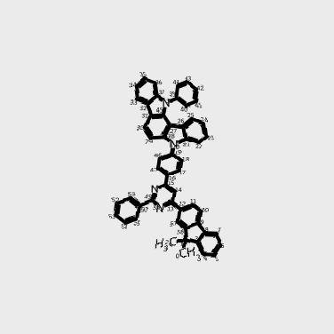 CC1(C)c2ccccc2-c2ccc(-c3cc(-c4ccc(-n5c6ccccc6c6c5ccc5c7ccccc7n(-c7ccccc7)c56)cc4)nc(-c4ccccc4)n3)cc21